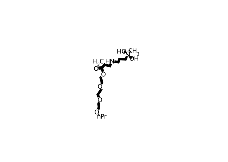 CCCOCCOCCOCCOC(=O)C(C)CNCCC[Si](C)(O)O